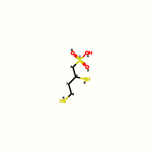 O=S(=O)(O)CC(S)CCS